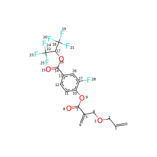 C=CCOCC(=C)C(=O)Oc1ccc(C(=O)OC(C(F)(F)F)C(F)(F)F)cc1F